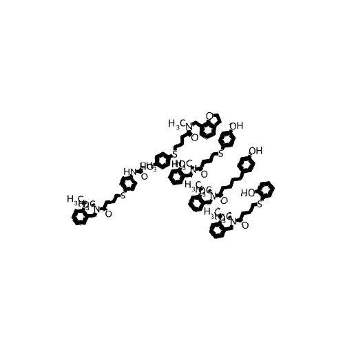 CN(Cc1cccc2c1OCC2)C(=O)CCCSc1ccc(O)cc1.CN(Cc1ccccc1O)C(=O)CCCSc1ccc(O)cc1.COc1ccccc1CN(C)C(=O)CCCCc1ccc(O)cc1.COc1ccccc1CN(C)C(=O)CCCSc1ccc(NC(C)=O)cc1.COc1ccccc1CN(C)C(=O)CCCSc1ccccc1O